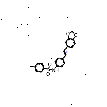 Cc1ccc(S(=O)(=O)Nc2ccc(/C=C/c3ccc4c(c3)OCO4)cc2)cc1